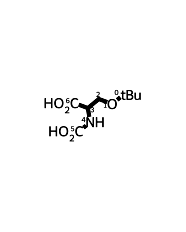 CC(C)(C)OCC(NC(=O)O)C(=O)O